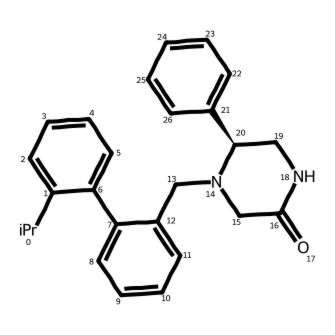 CC(C)c1ccccc1-c1ccccc1CN1CC(=O)NC[C@@H]1c1ccccc1